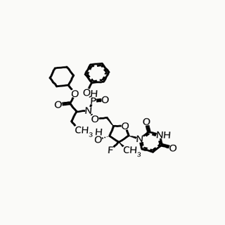 CCC(C(=O)OC1CCCCC1)N(OC[C@H]1O[C@@H](n2ccc(=O)[nH]c2=O)[C@](C)(F)[C@@H]1O)[PH](=O)Oc1ccccc1